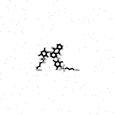 COCCCNS(=O)(=O)c1c(C)cc(C)c(Nc2ccc(Nc3c(C)cc(C)c(S(=O)(=O)NCCCOC)c3C)c3c2C(=O)c2ccccc2C3=O)c1C